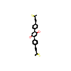 CC(=S)C#Cc1ccc(C2=CC(=O)C(c3ccc(C#CC(C)=S)cc3)=CC2=O)cc1